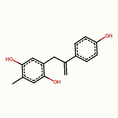 C=C(Cc1cc(O)c(C)cc1O)c1ccc(O)cc1